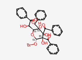 O=C(c1ccccc1)C(O)[C@@H]1O[C@@H](OBr)[C@@](O)(C(=O)c2ccccc2)[C@@](O)(C(=O)c2ccccc2)[C@]1(O)C(=O)c1ccccc1